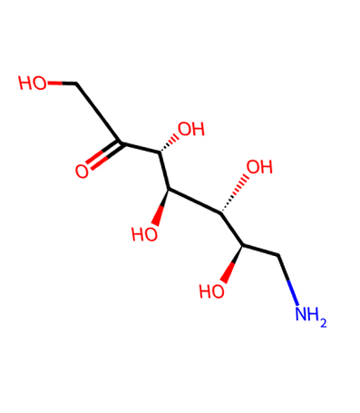 NC[C@@H](O)[C@@H](O)[C@@H](O)[C@@H](O)C(=O)CO